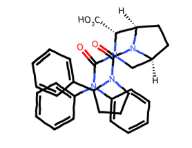 O=C(O)[C@@H]1[C@H]2CC[C@@H](CN1C(=O)N(c1ccccc1)c1ccccc1)N2C(=O)N1CCCC1c1ccccc1